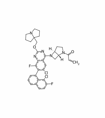 C=CC(=O)N1CC[C@H]2[C@H]1CN2c1nc(OCC23CCCN2CCC3)nc2c(F)c(-c3cccc4ccc(F)c(Cl)c34)c(Cl)cc12